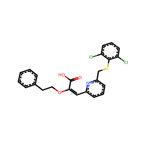 O=C(O)/C(=C\c1cccc(CSc2c(Cl)cccc2Cl)n1)OCCc1ccccc1